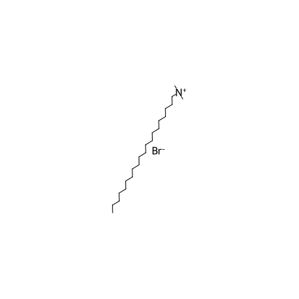 CCCCCCCCCCCCCCCCCCCC[N+](C)(C)C.[Br-]